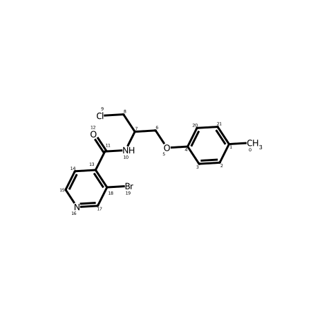 Cc1ccc(OCC(CCl)NC(=O)c2ccncc2Br)cc1